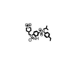 CCc1ccc(N(CC(C)C)S(=O)(=O)c2ccc3c(c2)[nH]c(=O)n3CC2CCS(=O)(=O)CC2)cc1